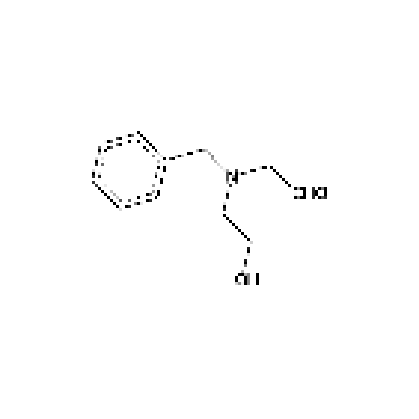 O=CCN(CCO)Cc1ccccc1